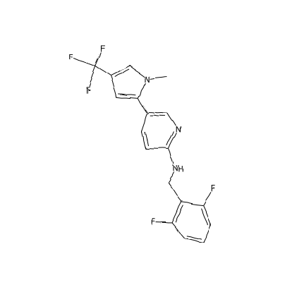 Cn1cc(C(F)(F)F)cc1-c1ccc(NCc2c(F)cccc2F)nc1